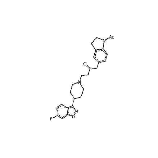 CC(=O)N1CCc2cc(CC(=O)CCN3CCC(c4noc5cc(F)ccc45)CC3)ccc21